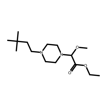 CCOC(=O)C(OC)N1CCN(CCC(C)(C)C)CC1